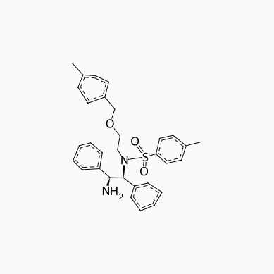 Cc1ccc(COCCN([C@@H](c2ccccc2)[C@@H](N)c2ccccc2)S(=O)(=O)c2ccc(C)cc2)cc1